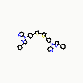 Cn1c(-c2ccccc2)ccc1N(c1ccc(-c2ccc(-c3ccc(-c4ccc(N(c5cccnc5)c5ccc(-c6ccccc6)n5C)cc4)s3)s2)cc1)c1cccnc1